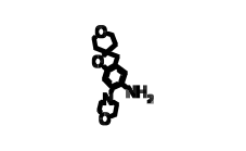 Nc1cc2c(cc1N1CCOCC1)OC1(CCOCC1)C2